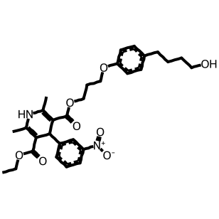 CCOC(=O)C1=C(C)NC(C)=C(C(=O)OCCCOc2ccc(CCCCO)cc2)C1c1cccc([N+](=O)[O-])c1